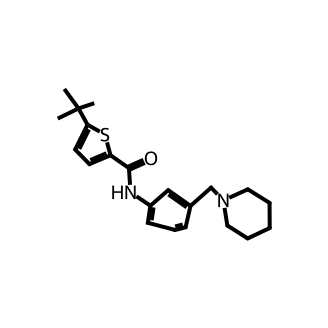 CC(C)(C)c1ccc(C(=O)Nc2cccc(CN3CCCCC3)c2)s1